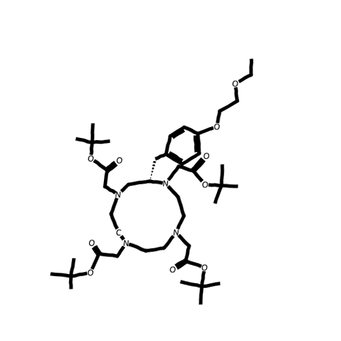 CCOCCOc1ccc(C[C@H]2CN(CC(=O)OC(C)(C)C)CCN(CC(=O)OC(C)(C)C)CCN(CC(=O)OC(C)(C)C)CCN2CC(=O)OC(C)(C)C)cc1